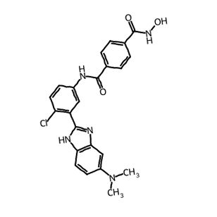 CN(C)c1ccc2[nH]c(-c3cc(NC(=O)c4ccc(C(=O)NO)cc4)ccc3Cl)nc2c1